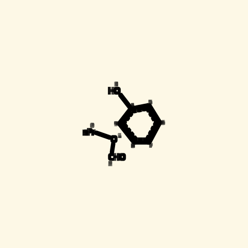 CCCOC=O.Oc1ccccc1